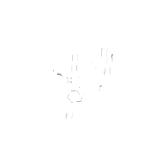 COc1ccc2c3c1OC1C(OC)[C@@H]([C@@](C)(O)C(C)(C)C)CC4C(C2)N(C#N)CCC341